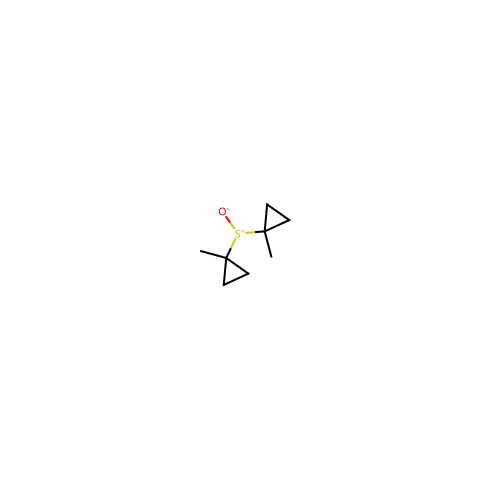 CC1([S+]([O-])C2(C)CC2)CC1